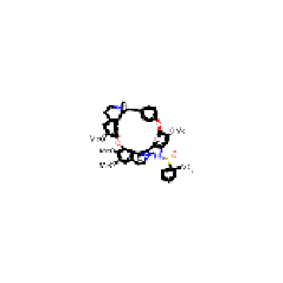 COc1cc(N[S+]([O-])c2ccccc2[N+](=O)[O-])c2cc1Oc1ccc(cc1)C[C@H]1c3cc(c(OC)cc3CCN1C)Oc1c(OC)c(OC)cc3c1[C@H](C2)N(C)CC3